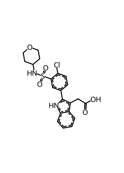 O=C(O)Cc1c(-c2ccc(Cl)c(S(=O)(=O)NC3CCOCC3)c2)[nH]c2ccccc12